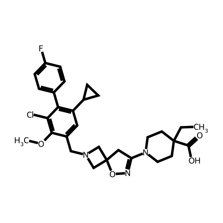 CCC1(C(=O)O)CCN(C2=NOC3(C2)CN(Cc2cc(C4CC4)c(-c4ccc(F)cc4)c(Cl)c2OC)C3)CC1